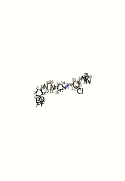 FC(F)(F)Oc1cccc(CN2CCN(c3ccc(/C=C/c4cc(Cl)cc(Cn5ccnc5)c4)cc3)CC2)c1